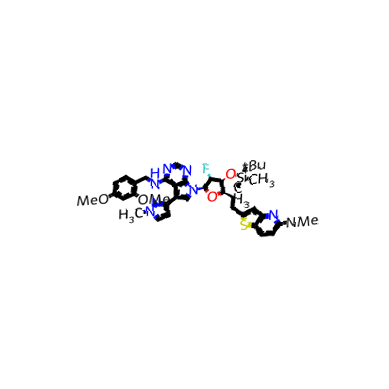 CNc1ccc2sc(CC[C@H]3O[C@@H](n4cc(-c5ccn(C)n5)c5c(NCc6ccc(OC)cc6OC)ncnc54)[C@@H](F)[C@@H]3O[Si](C)(C)C(C)(C)C)cc2n1